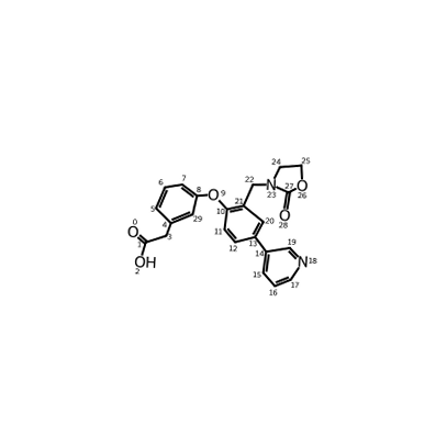 O=C(O)Cc1cccc(Oc2ccc(-c3cccnc3)cc2CN2CCOC2=O)c1